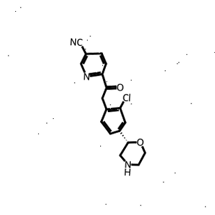 N#Cc1ccc(C(=O)Cc2ccc([C@H]3CNCCO3)cc2Cl)nc1